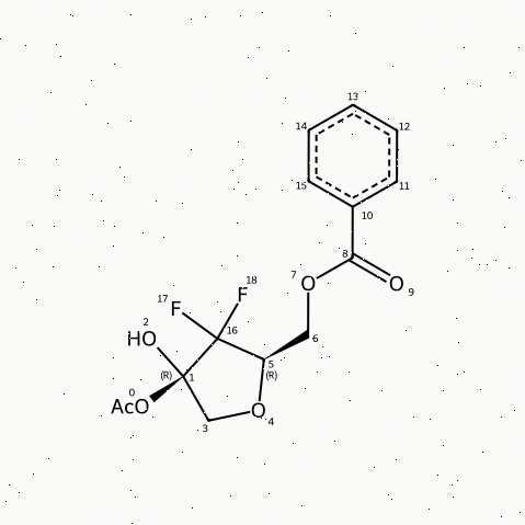 CC(=O)O[C@]1(O)CO[C@H](COC(=O)c2ccccc2)C1(F)F